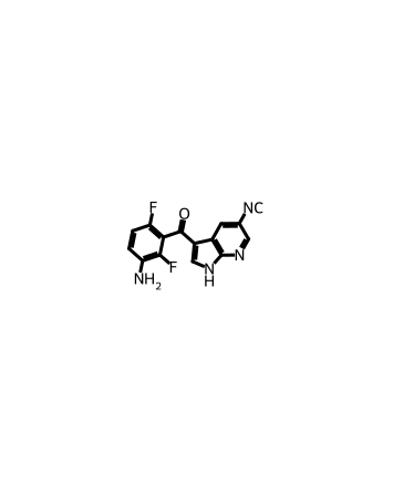 [C-]#[N+]c1cnc2[nH]cc(C(=O)c3c(F)ccc(N)c3F)c2c1